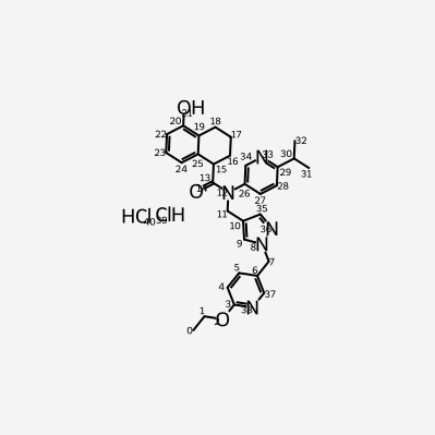 CCOc1ccc(Cn2cc(CN(C(=O)C3CCCc4c(O)cccc43)c3ccc(C(C)C)nc3)cn2)cn1.Cl.Cl